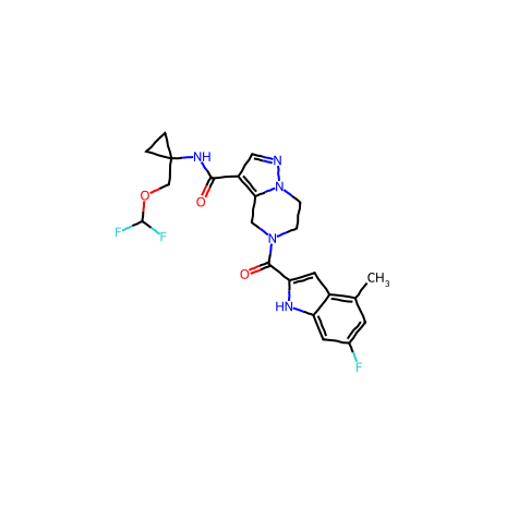 Cc1cc(F)cc2[nH]c(C(=O)N3CCn4ncc(C(=O)NC5(COC(F)F)CC5)c4C3)cc12